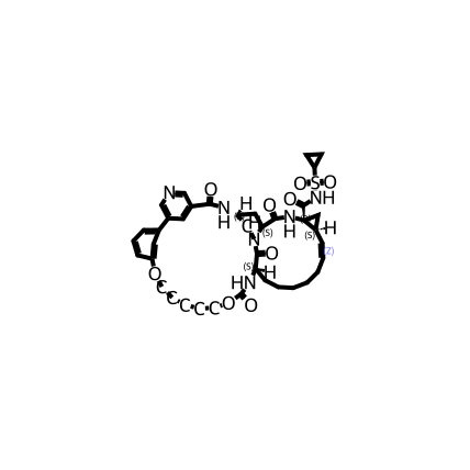 O=C1N[C@H]2CCCCC/C=C\[C@@H]3C[C@@]3(C(=O)NS(=O)(=O)C3CC3)NC(=O)[C@@H]3C[C@H](CN3C2=O)NC(=O)c2cncc(c2)-c2cccc(c2)OCCCCCO1